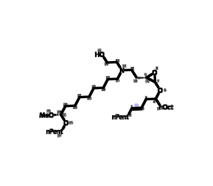 CCCCC/C=C/CC(CCCCCCCC)OC1O[C@H]1CCN(CCO)CCCCCCCC[C@@H](OC)OCCCCC